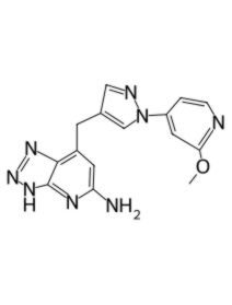 COc1cc(-n2cc(Cc3cc(N)nc4[nH]nnc34)cn2)ccn1